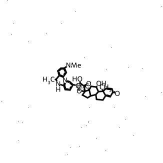 CNc1ccc(C(C)Nc2ccc(OOC3(C(=O)CO)CCC4C5CCC6=CC(=O)C=CC6(C)C5C(O)CC43C)cn2)cc1